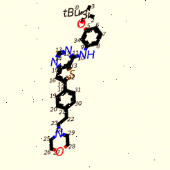 CC(C)(C)[Si](C)(C)Oc1cccc(Nc2ncnc3cc(-c4ccc(CCN5CCOCC5)cc4)sc23)c1